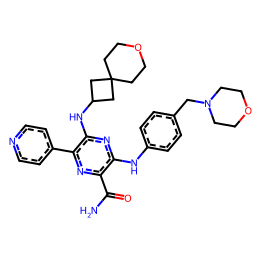 NC(=O)c1nc(-c2ccncc2)c(NC2CC3(CCOCC3)C2)nc1Nc1ccc(CN2CCOCC2)cc1